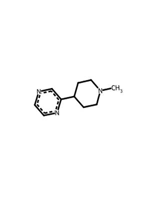 CN1CCC(c2cnccn2)CC1